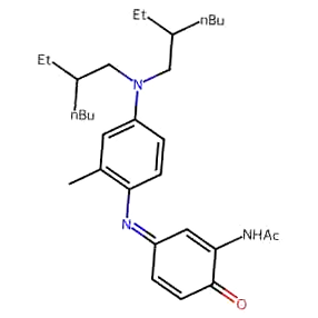 CCCCC(CC)CN(CC(CC)CCCC)c1ccc(/N=C2/C=CC(=O)C(NC(C)=O)=C2)c(C)c1